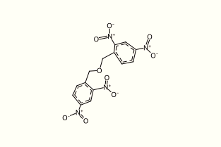 O=[N+]([O-])c1ccc(COCc2ccc([N+](=O)[O-])cc2[N+](=O)[O-])c([N+](=O)[O-])c1